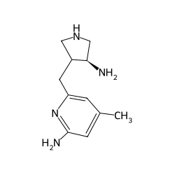 Cc1cc(N)nc(CC2CNC[C@H]2N)c1